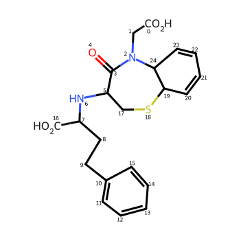 O=C(O)CN1C(=O)C(NC(CCc2ccccc2)C(=O)O)CSC2C=CC=CC21